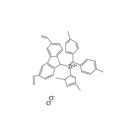 C=Cc1ccc2c(c1)-c1cc(C=C)ccc1[CH]2[Zr+2]([C]1=CC(C)=CC1C)=[C](c1ccc(C)cc1)c1ccc(C)cc1.[Cl-].[Cl-]